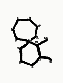 CC1CCC[N+]2(CCCCCC2)C1C